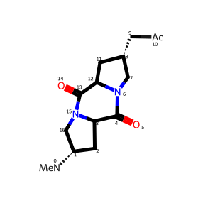 CN[C@H]1CC2C(=O)N3C[C@@H](CC(C)=O)CC3C(=O)N2C1